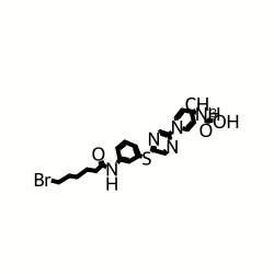 CC1(NC(=O)O)C=CN(c2cnc(Sc3cccc(NC(=O)CCCCCBr)c3)cn2)C=C1